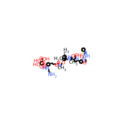 Cc1c(-c2ccc(-c3ccc4c(c3)N(C(=O)Nc3nc5ccccc5s3)CCO4)nc2C(=O)O)cnn1CC12CC3(C)CC(C)(C1)CC(OCCN(C)C(=O)OC/C=C/c1ccc(O[C@@H]4O[C@H](C(=O)O)[C@@H](O)[C@H](O)[C@H]4O)c(NCCCN)c1)(C3)C2